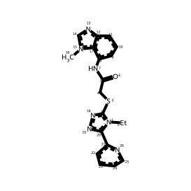 CCn1c(SCC(=O)Nc2cccc3ncn(C)c23)nnc1-c1ccccn1